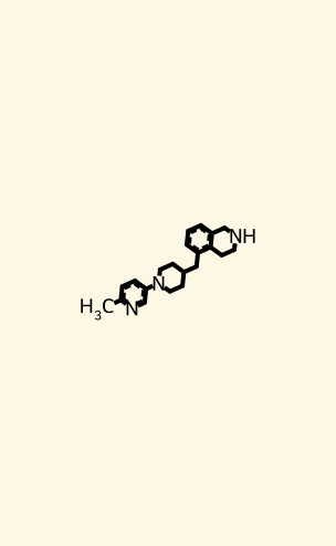 Cc1ccc(N2CCC(Cc3cccc4c3CCNC4)CC2)cn1